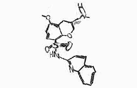 CN[C@H]1COc2c(S(=O)(=O)Nc3ccc4ccccc4n3)ccc(OC)c2C1